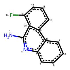 Nc1nc2ccccc2c2cccc(F)c12